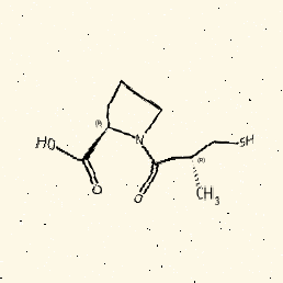 C[C@@H](CS)C(=O)N1CCC[C@@H]1C(=O)O